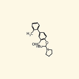 CCCCC(Oc1ccc(-c2ccccc2C)cc1C=O)N1CCCC1